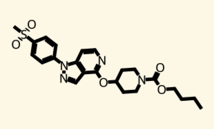 CCCCOC(=O)N1CCC(Oc2nccc3c2cnn3-c2ccc(S(C)(=O)=O)cc2)CC1